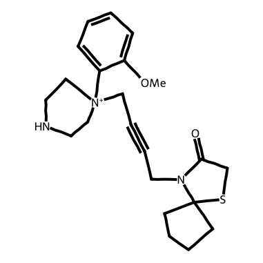 COc1ccccc1[N+]1(CC#CCN2C(=O)CSC23CCCC3)CCNCC1